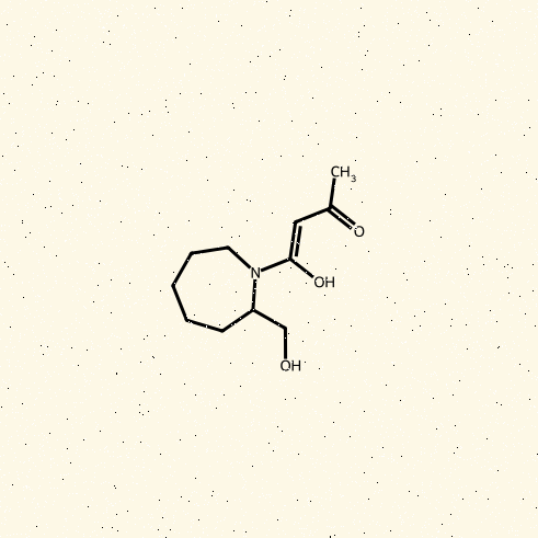 CC(=O)/C=C(\O)N1CCCCCC1CO